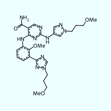 COCCCn1cc(Nc2ncc(C(N)=O)c(Nc3cccc(-c4ncn(CCCOC)n4)c3OC)n2)cn1